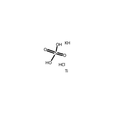 Cl.O=S(=O)(O)O.[KH].[Ti]